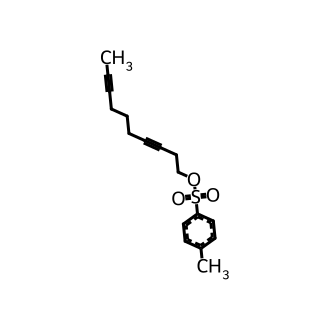 CC#CCCCC#CCCOS(=O)(=O)c1ccc(C)cc1